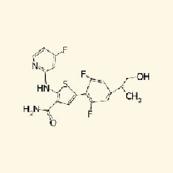 CC(CO)c1cc(F)c(-c2cc(C(N)=O)c(Nc3cc(F)ccn3)s2)c(F)c1